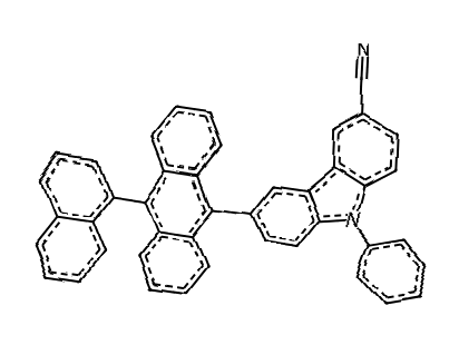 N#Cc1ccc2c(c1)c1cc(-c3c4ccccc4c(-c4cccc5ccccc45)c4ccccc34)ccc1n2-c1ccccc1